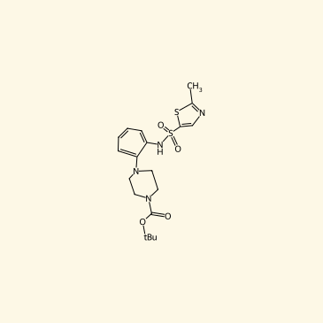 Cc1ncc(S(=O)(=O)Nc2ccccc2N2CCN(C(=O)OC(C)(C)C)CC2)s1